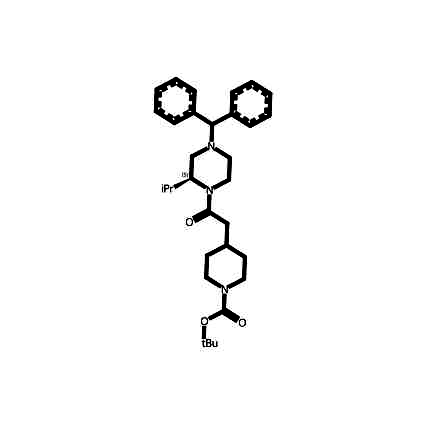 CC(C)[C@H]1CN(C(c2ccccc2)c2ccccc2)CCN1C(=O)CC1CCN(C(=O)OC(C)(C)C)CC1